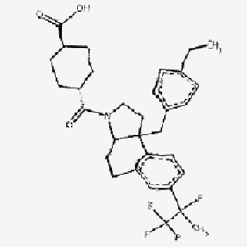 CCc1ccc(CC23CCN(C(=O)[C@H]4CC[C@H](C(=O)O)CC4)C2CCc2cc(C(C)(F)C(F)(F)F)ccc23)cc1